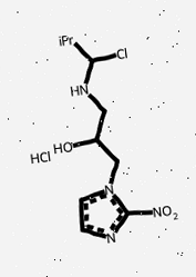 CC(C)C(Cl)NCC(O)Cn1ccnc1[N+](=O)[O-].Cl